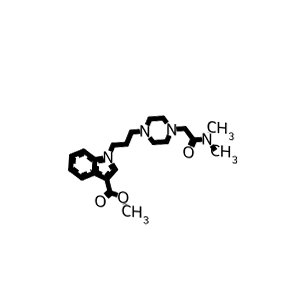 COC(=O)c1cn(CCCN2CCN(CC(=O)N(C)C)CC2)c2ccccc12